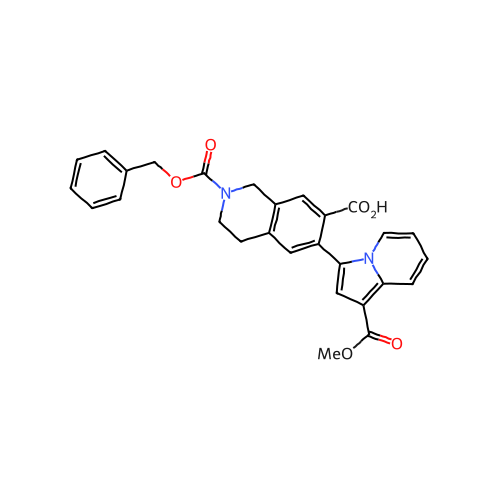 COC(=O)c1cc(-c2cc3c(cc2C(=O)O)CN(C(=O)OCc2ccccc2)CC3)n2ccccc12